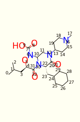 CC(C)C[C@H]1ON(C(=O)O)C2CN(C3CCN(C)CC3)C(=O)[C@H](CC3CCCCC3)N2C1=O